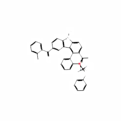 CCn1c2ccc(C(=O)c3ccccc3C)cc2c2c(-c3ccccc3C(=O)C(Cl)(Cl)Oc3ccccc3)c(C(C)=NOC(C)=O)ccc21